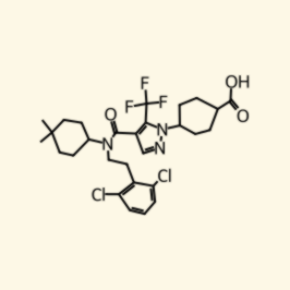 CC1(C)CCC(N(CCc2c(Cl)cccc2Cl)C(=O)c2cnn(C3CCC(C(=O)O)CC3)c2C(F)(F)F)CC1